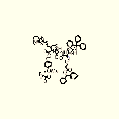 COc1ccc(COC(=O)C2=C(CSc3nc4ccc[n+](C)c4s3)CS[C@H]3[C@@H](NC(=O)/C(=N\OCCC(=O)OC(c4ccccc4)c4ccccc4)c4csc(NC(c5ccccc5)(c5ccccc5)c5ccccc5)n4)C(=O)N23)cc1.O=C([O-])C(F)(F)F